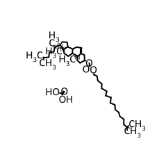 CC(C)CCCCCCCCCCCCCCCOC(=O)OC1CC[C@@]2(C)C(=CCC3C2CC[C@@]2(C)C3CC[C@@H]2[C@H](C)CCCC(C)C)C1.O=C(O)O